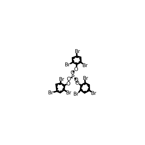 Brc1cc(Br)c(OOP(OOc2c(Br)cc(Br)cc2Br)OOc2c(Br)cc(Br)cc2Br)c(Br)c1